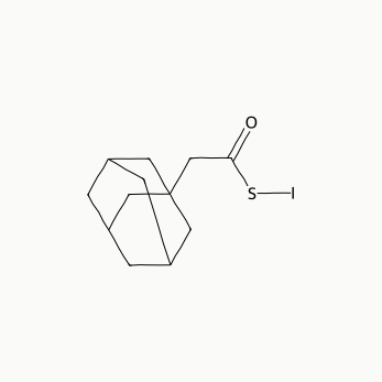 O=C(CC12CC3CC(CC(C3)C1)C2)SI